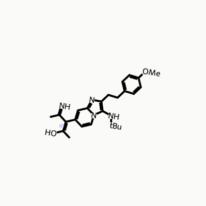 COc1ccc(CCc2nc3cc(/C(C(C)=N)=C(\C)O)ccn3c2NC(C)(C)C)cc1